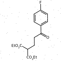 CCOC(=O)C(CCC(=O)c1ccc(F)cc1)C(=O)OCC